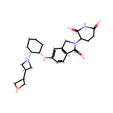 O=C1CCC(N2Cc3cc(O[C@H]4CCCC[C@H]4N4CC(C5COC5)C4)ccc3C2=O)C(=O)N1